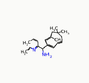 C=C/N=C(\C=C/C)C(N)C1=C/C=C/CC(C)(C)C\C(C)=C\1